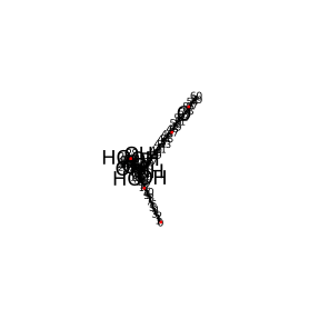 CCCCCCCCCCCCCC[C@@H](O)[C@@H](O)[C@H](CC[C@H]1OC(CO)[C@H](O)[C@H](O)C1O)NC(=O)CCCCCCCCCCCCCCCCCCCOCCCCCC